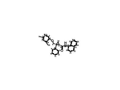 Cc1ncc(OC[C@@]2(c3ccccc3)C[C@H]2C(=O)Nc2cccc3ccncc23)c(C)n1